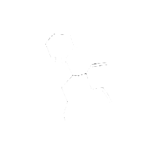 C=CCC(C=C)C(CCCC)[SiH]1CCCCO1